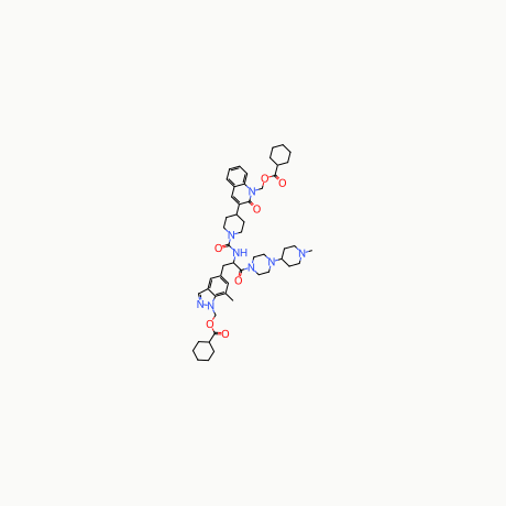 Cc1cc(CC(NC(=O)N2CCC(c3cc4ccccc4n(COC(=O)C4CCCCC4)c3=O)CC2)C(=O)N2CCN(C3CCN(C)CC3)CC2)cc2cnn(COC(=O)C3CCCCC3)c12